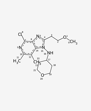 COCCc1nc2c(Cl)nc(C)c(C)c2n1NC1CCOCC1